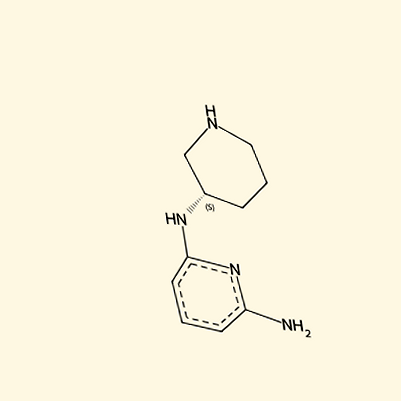 Nc1cccc(N[C@H]2CCCNC2)n1